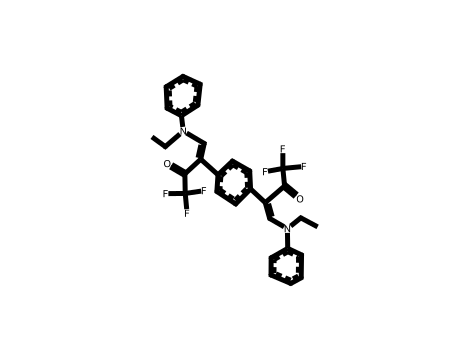 CCN(/C=C(\C(=O)C(F)(F)F)c1ccc(/C(=C/N(CC)c2ccccc2)C(=O)C(F)(F)F)cc1)c1ccccc1